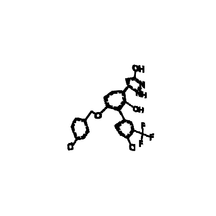 Oc1cc(-c2ccc(OCc3ccc(Cl)cc3)c(-c3ccc(Cl)c(C(F)(F)F)c3)c2O)[nH]n1